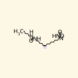 CCCCCNC(=O)NCCCC/C=C\CCCCCCC1=NOS(=O)N1